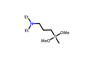 CCN(CC)CC[CH2][Ti]([CH3])([O]C)[O]C